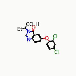 CCC(C(=O)O)n1cnc2ccc(Oc3ccc(Cl)cc3Cl)cc2c1=O